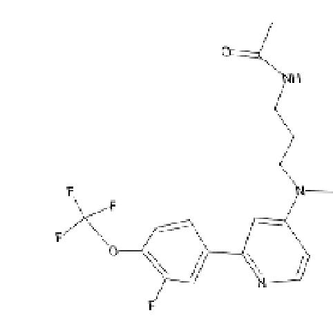 CC(=O)NCCCN(C)c1ccnc(-c2ccc(OC(F)(F)F)c(F)c2)c1